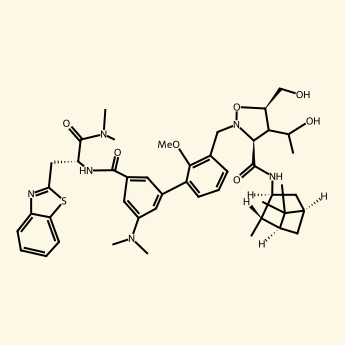 COc1c(CN2O[C@@H](CO)C(C(C)O)[C@H]2C(=O)N[C@H]2C[C@H]3C[C@@H]([C@@H]2C)C3(C)C)cccc1-c1cc(C(=O)N[C@H](Cc2nc3ccccc3s2)C(=O)N(C)C)cc(N(C)C)c1